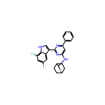 Fc1cc(F)c2[nH]cc(-c3nc(NC4CC5CCC4CC5)cc(-c4ccccc4)n3)c2c1